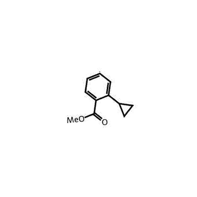 COC(=O)c1cc[c]cc1C1CC1